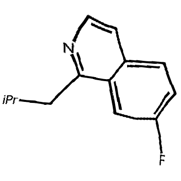 CC(C)Cc1nccc2ccc(F)cc12